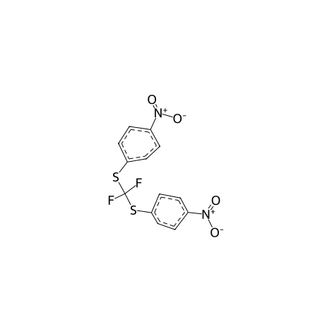 O=[N+]([O-])c1ccc(SC(F)(F)Sc2ccc([N+](=O)[O-])cc2)cc1